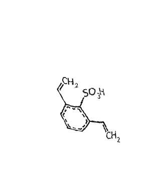 C=Cc1cccc(C=C)c1S(=O)(=O)O